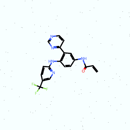 C=CC(=O)Nc1ccc(Nc2ccc(C(F)(F)F)cn2)c(-c2ccncn2)c1